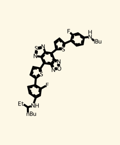 CCCCC(CC)Nc1ccc(-c2ccc(-c3c4c(c(-c5ccc(-c6ccc(NC(C)CC)cc6F)s5)c5nonc35)N=S=N4)s2)c(F)c1